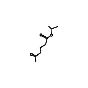 CC(=O)CCCC(=O)OC(C)C